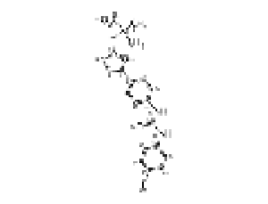 CC(C)(Cc1ncc(-c2ccc(NC(=O)Nc3ccc(F)cc3)cc2)o1)C(=O)O